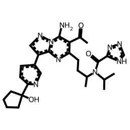 CC(=O)c1c(CCC(C)N(C(=O)c2nnc[nH]2)C(C)C)nc2c(-c3ccc(C4(O)CCCC4)nc3)cnn2c1N